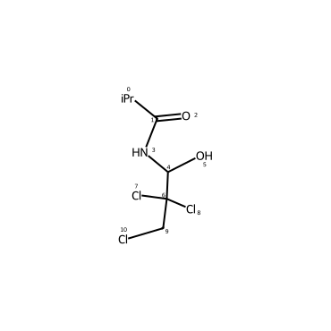 CC(C)C(=O)NC(O)C(Cl)(Cl)CCl